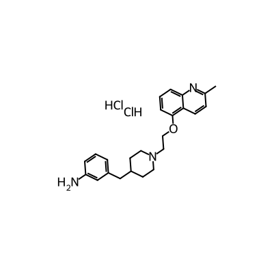 Cc1ccc2c(OCCN3CCC(Cc4cccc(N)c4)CC3)cccc2n1.Cl.Cl